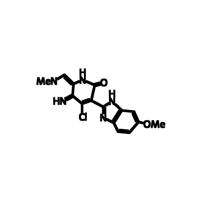 CN/C=C1/NC(=O)C(c2nc3ccc(OC)cc3[nH]2)=C(Cl)C1=N